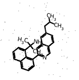 CC(C)Cc1ccc2cnc(-c3cccc4cccc(C(C)(C)N)c34)cc2c1